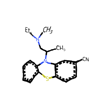 CCN(C)CC(C)N1c2ccccc2Sc2ccc(C#N)cc21